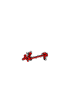 COc1ccc(C(OC[C@H]2O[C@@H](n3cc(C)c(=O)[nH]c3=O)C[C@@H]2OP(=O)(OCCOCCOCCOCCOCCO[C@@H]2O[C@H](COC(C)=O)[C@H](OC(C)=O)[C@H](OC(C)=O)[C@H]2NC(C)=O)N(C(C)C)C(C)C)(c2ccccc2)c2ccc(OC)cc2)cc1